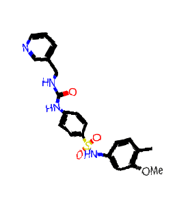 COc1cc(NS(=O)(=O)c2ccc(NC(=O)NCc3cccnc3)cc2)ccc1C